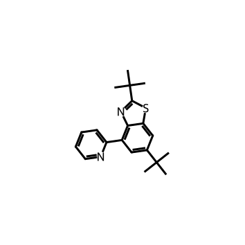 CC(C)(C)c1cc(-c2ccccn2)c2nc(C(C)(C)C)sc2c1